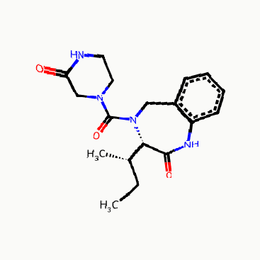 CC[C@H](C)[C@H]1C(=O)Nc2ccccc2CN1C(=O)N1CCNC(=O)C1